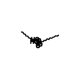 CCCCCCCCCCCCCC(=O)P(C(=O)CCCCCCCCCCCCC)P(=O)(O)O